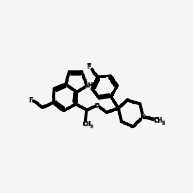 CC(OCC1(c2ccc(F)cc2)CCN(C)CC1)c1cc(CF)cc2cc[nH]c12